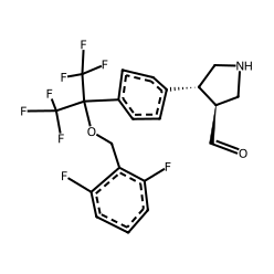 O=C[C@@H]1CNC[C@H]1c1ccc(C(OCc2c(F)cccc2F)(C(F)(F)F)C(F)(F)F)cc1